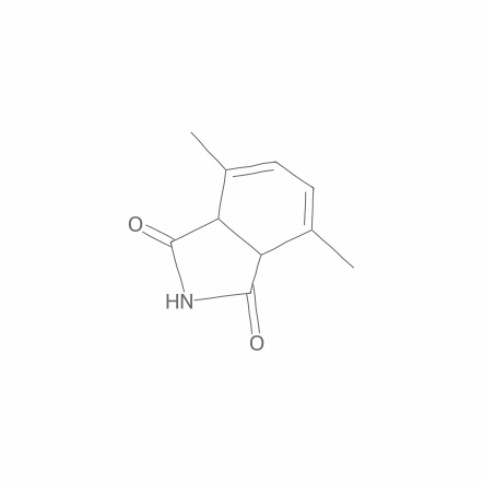 CC1=CC=C(C)C2C(=O)NC(=O)C12